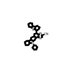 N#Cc1cnc2c(n1)c(-c1cccc3c1sc1ccccc13)cc1cc3c4ccccc4n(-c4ccccc4)c3cc12